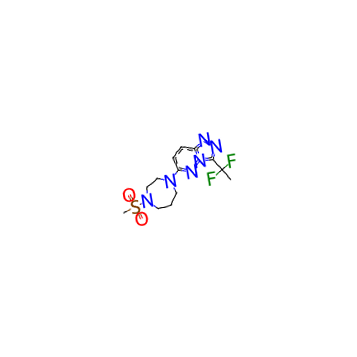 CC(F)(F)c1nnc2ccc(N3CCCN(S(C)(=O)=O)CC3)nn12